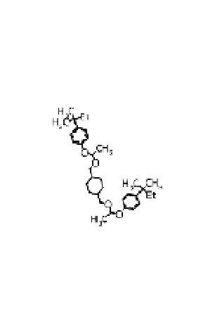 CCC(C)(C)c1ccc(OC(C)OCC2CCC(COC(C)Oc3ccc(C(C)(C)CC)cc3)CC2)cc1